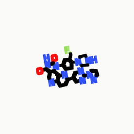 O=c1[nH]c(=O)n(-c2ccc(N3CCNCC3)c(CF)c2)c2c1cnc1ccc(-c3cnc(-n4cccn4)nc3)nc12